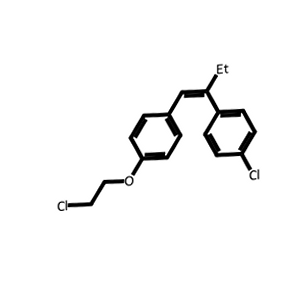 CCC(=Cc1ccc(OCCCl)cc1)c1ccc(Cl)cc1